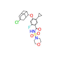 O=C(NS(=O)(=O)N1CCOCC1)c1cc(C2CC2)c(OC2C3CC4CC2CC(Cl)(C4)C3)cc1F